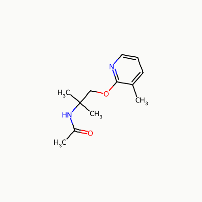 CC(=O)NC(C)(C)COc1ncccc1C